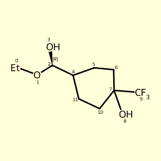 CCO[C@@H](O)C1CCC(O)(C(F)(F)F)CC1